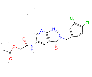 CC(=O)OCC(=O)Nc1cnc2ncn(Cc3ccc(Cl)c(Cl)c3)c(=O)c2c1